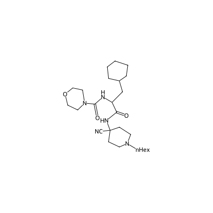 CCCCCCN1CCC(C#N)(NC(=O)C(CC2CCCCC2)NC(=O)N2CCOCC2)CC1